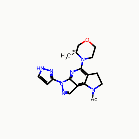 CC(=O)N1CCc2c(N3CCOC[C@H]3C)nc3c(cnn3-c3cc[nH]n3)c21